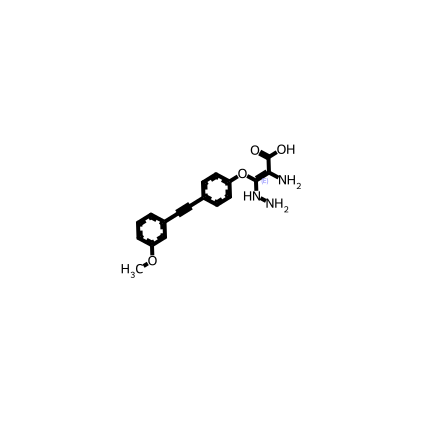 COc1cccc(C#Cc2ccc(O/C(NN)=C(/N)C(=O)O)cc2)c1